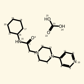 O=C(CN1CCN(c2ccncc2)CC1)NC1CCCCC1.O=C(O)O